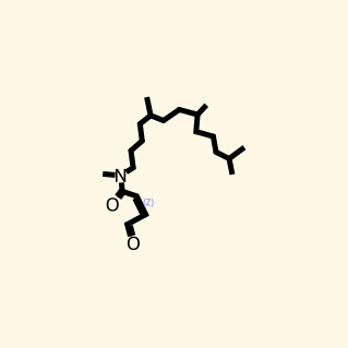 CC(C)CCCC(C)CCC(C)CCCCN(C)C(=O)/C=C\C=O